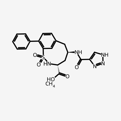 C.O=C(N[C@@H]1Cc2ccc(-c3ccccc3)c(c2)S(=O)(=O)N[C@@H](C(=O)O)C1)c1c[nH]nn1